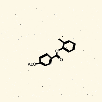 CC(=O)Oc1ccc(C(=O)Oc2ccccc2C)cc1